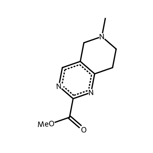 COC(=O)c1ncc2c(n1)CCN(C)C2